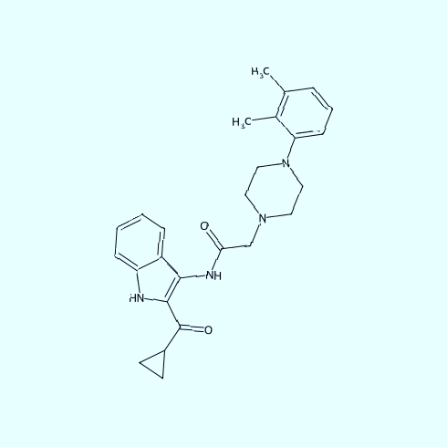 Cc1cccc(N2CCN(CC(=O)Nc3c(C(=O)C4CC4)[nH]c4ccccc34)CC2)c1C